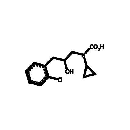 O=C(O)N(CC(O)Cc1ccccc1Cl)C1CC1